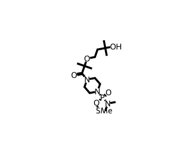 CSOP(=O)(N(C)C)N1CCN(C(=O)C(C)(C)OCCC(C)(C)O)CC1